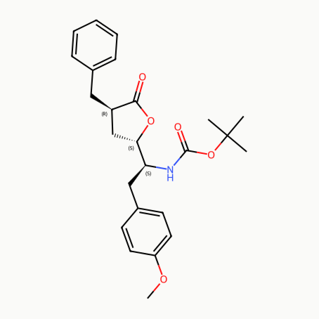 COc1ccc(C[C@H](NC(=O)OC(C)(C)C)[C@@H]2C[C@@H](Cc3ccccc3)C(=O)O2)cc1